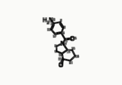 Nc1ccc(C(=O)N2CCC3C(=O)CCCC32)cc1